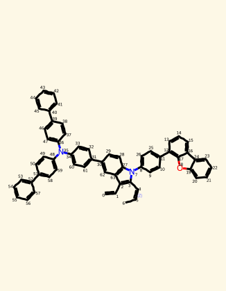 C=Cc1c(/C=C\C)n(-c2ccc(-c3cccc4c3oc3ccccc34)cc2)c2ccc(-c3ccc(N(c4ccc(-c5ccccc5)cc4)c4ccc(-c5ccccc5)cc4)cc3)cc12